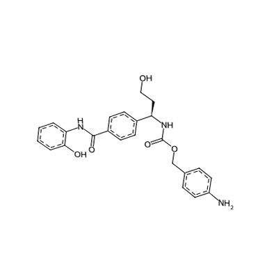 Nc1ccc(COC(=O)N[C@H](CCO)c2ccc(C(=O)Nc3ccccc3O)cc2)cc1